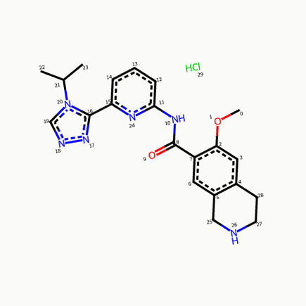 COc1cc2c(cc1C(=O)Nc1cccc(-c3nncn3C(C)C)n1)CNCC2.Cl